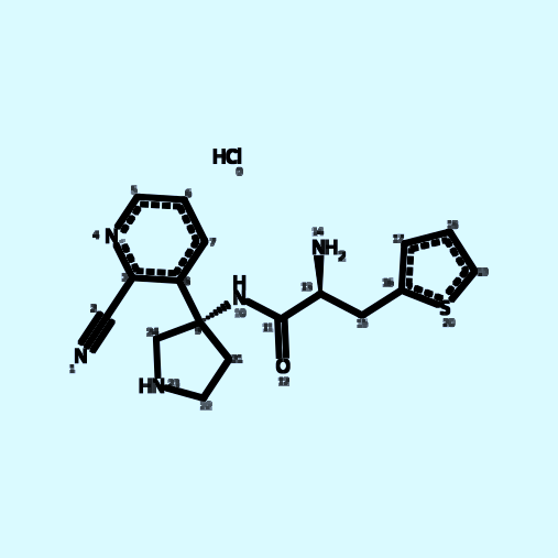 Cl.N#Cc1ncccc1[C@@]1(NC(=O)[C@@H](N)Cc2cccs2)CCNC1